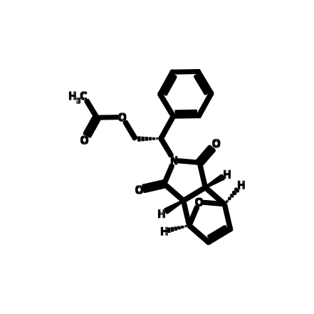 CC(=O)OC[C@H](c1ccccc1)N1C(=O)[C@@H]2[C@H](C1=O)[C@H]1C=C[C@@H]2O1